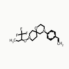 C=Cc1ccc(N2CCOC3(CCN(OC(CC)C(F)(F)F)CC3)C2)cc1